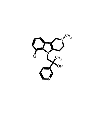 CN1CCc2c(c3cccc(Cl)c3n2CC(C)(O)c2cccnc2)C1